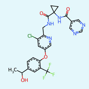 CC(O)c1ccc(Oc2cnc(CNC(=O)C3(NC(=O)c4cncnc4)CC3)c(Cl)c2)c(C(F)(F)F)c1